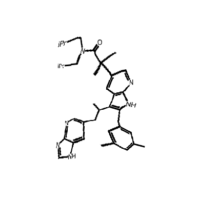 Cc1cc(C)cc(-c2[nH]c3ncc(C(C)(C)C(=O)N(CC(C)C)CC(C)C)cc3c2C(C)Cc2cnc3nc[nH]c3c2)c1